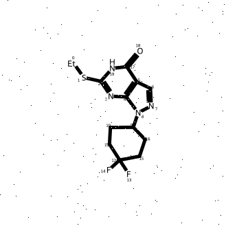 CCSc1nc2c(cnn2C2CCC(F)(F)CC2)c(=O)[nH]1